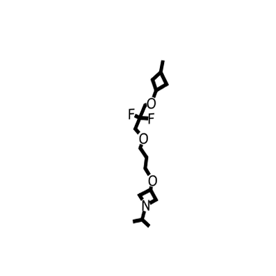 CC1CC(OCC(F)(F)COCCCOC2CN(C(C)C)C2)C1